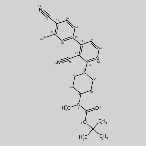 CN(C(=O)OC(C)(C)C)C1CCN(c2nccc(-c3ccc(C#N)c(F)c3)c2C#N)CC1